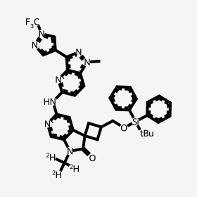 [2H]C([2H])([2H])N1C(=O)C2(CC(CO[Si](c3ccccc3)(c3ccccc3)C(C)(C)C)C2)c2cc(Nc3ccc4c(n3)c(-c3cnn(C(F)(F)F)c3)nn4C)ncc21